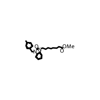 COC(=O)CCCCCCCn1c(=O)n(Cc2ccc(C)cc2)c2ccccc21